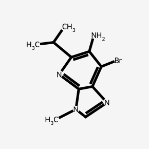 CC(C)c1nc2c(ncn2C)c(Br)c1N